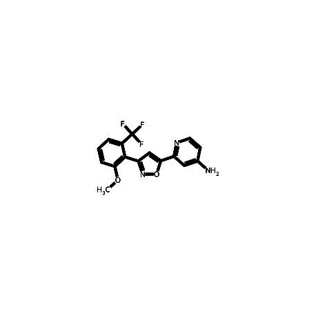 COc1cccc(C(F)(F)F)c1-c1cc(-c2cc(N)ccn2)on1